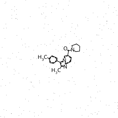 Cc1ccc(-c2c(C)nc3ccc(C(=O)N4CCCCC4)cn23)cc1